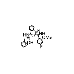 COc1cc(F)ccc1-c1cc(-c2ccccc2C(=O)N[C@@H](CO)Cc2ccccn2)n[nH]1